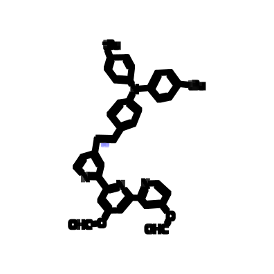 CC(C)(C)c1ccc(N(c2ccc(/C=C/c3ccnc(-c4cc(OC=O)cc(-c5cc(OC=O)ccn5)n4)c3)cc2)c2ccc(C(C)(C)C)cc2)cc1